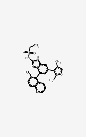 CCS(=O)(=O)Nc1nc2c(-c3c(C)ccc4ncccc34)cc(-c3c(C)noc3C)cc2[nH]1